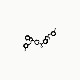 O=C(c1ccc2nn(Cc3cccc(F)c3)cc2c1)N1CCC(c2nc3ccccc3n2Cc2cccc(F)c2)CC1